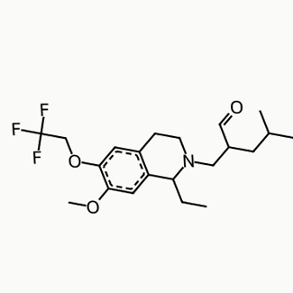 CCC1c2cc(OC)c(OCC(F)(F)F)cc2CCN1CC(C=O)CC(C)C